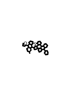 CC1C=Cc2c(c(-c3cccc4c3sc3cccc(-c5c6ccccc6c(-c6ccccc6)c6ccccc56)c34)c3ccccc3c2-c2ccco2)C1